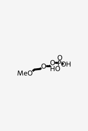 COCCOCOP(=O)(O)O